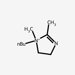 CCCC[N+]1(C)CCN=C1C